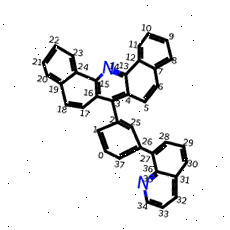 c1cc(-c2c3ccc4ccccc4c3nc3c2ccc2ccccc23)cc(-c2cccc3cccnc23)c1